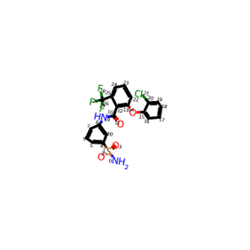 NS(=O)(=O)c1cccc(NC(=O)c2c(Oc3ccccc3Cl)cccc2C(F)(F)F)c1